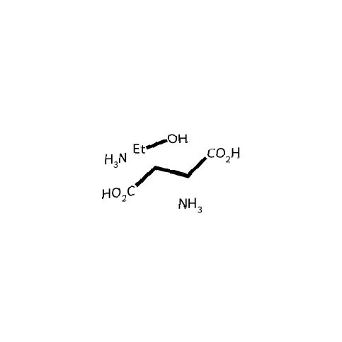 CCO.N.N.O=C(O)CCC(=O)O